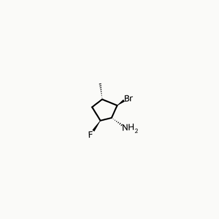 C[C@H]1C[C@H](F)[C@@H](N)[C@@H]1Br